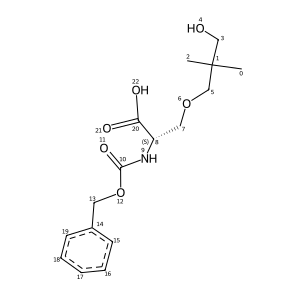 CC(C)(CO)COC[C@H](NC(=O)OCc1ccccc1)C(=O)O